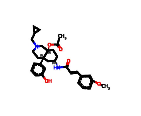 COc1cccc(C=CC(=O)N[C@H]2CC[C@]3(OC(C)=O)CN(CC4CC4)CC[C@@]3(c3cccc(O)c3)C2)c1